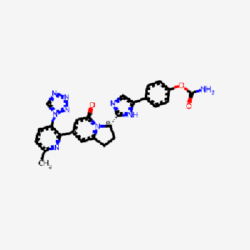 Cc1ccc(-n2cnnn2)c(-c2cc3n(c(=O)c2)[C@H](c2ncc(-c4ccc(OC(N)=O)cc4)[nH]2)CC3)n1